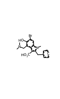 CN(C)Cc1c(O)c(Br)cc2c1c(C(=O)O)c(Cc1ccccc1)n2C